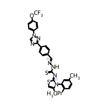 Cc1ccc(C(C)C)c(-n2c(C)cs/c2=N\C(=S)N/N=C/c2ccc(-c3ncn(-c4ccc(OC(F)(F)F)cc4)n3)cc2)c1